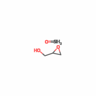 O=[SiH2].OCC1CO1